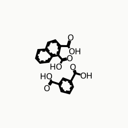 O=C(O)c1ccc2ccccc2c1C(=O)O.O=C(O)c1cccc(C(=O)O)c1